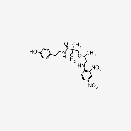 CC(CNc1ccc([N+](=O)[O-])cc1[N+](=O)[O-])OCC(C)(C)C(=O)NCCc1ccc(O)cc1